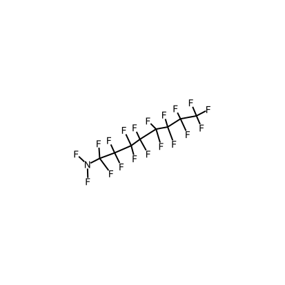 FN(F)C(F)(F)C(F)(F)C(F)(F)C(F)(F)C(F)(F)C(F)(F)C(F)(F)C(F)(F)F